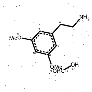 COc1cc(CCN)cc(OC)c1.O=CO